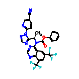 C[C@@H](c1ncnn1-c1ccc(C#N)cn1)N(C(=O)Oc1ccccc1)c1ncnc2c(C(F)(F)F)cc(C(F)(F)F)cc12